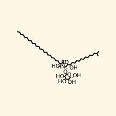 CCCCCCCCCCCCCCCCCCCCCC[C@@H](O)C(=O)N[C@@H](CO[C@@H]1O[C@H](CO)[C@@H](O)[C@H](O)[C@H]1O)[C@H](O)[C@H](O)CCCCCCCCCCCC(C)C